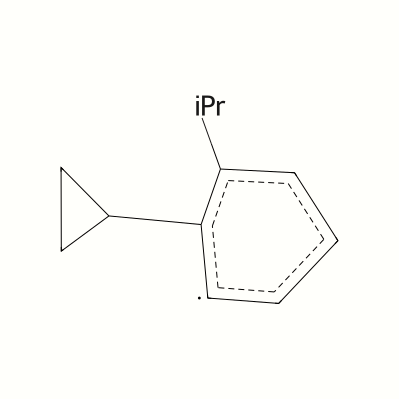 CC(C)c1ccc[c]c1C1CC1